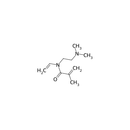 C=CN(CCN(C)C)C(=O)C(=C)C